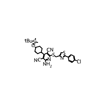 CC(C)(C)[Si](C)(C)OC1CCC(c2c(C#N)c(N)nc(SCc3csc(-c4ccc(Cl)cc4)n3)c2C#N)CC1